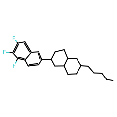 CCCCCC1CCC2CC(c3ccc4c(F)c(F)c(F)cc4c3)CCC2C1